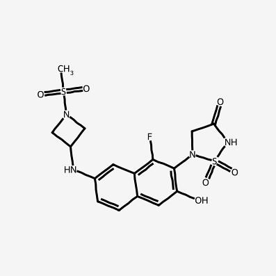 CS(=O)(=O)N1CC(Nc2ccc3cc(O)c(N4CC(=O)NS4(=O)=O)c(F)c3c2)C1